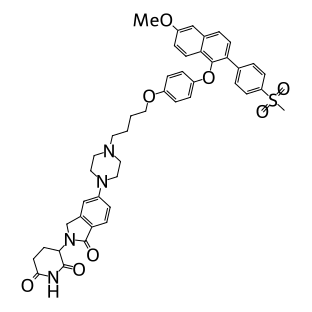 COc1ccc2c(Oc3ccc(OCCCCN4CCN(c5ccc6c(c5)CN(C5CCC(=O)NC5=O)C6=O)CC4)cc3)c(-c3ccc(S(C)(=O)=O)cc3)ccc2c1